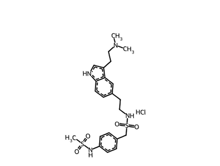 CN(C)CCc1c[nH]c2ccc(CCNS(=O)(=O)Cc3ccc(NS(C)(=O)=O)cc3)cc12.Cl